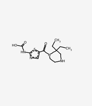 CCC1(CC)CNCCN1C(=O)c1cnc(NC(=O)O)s1